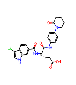 O=C(O)CC[C@H](NC(=O)c1ccc2c(Cl)c[nH]c2c1)C(=O)Nc1ccc(N2CCCCC2=O)cc1